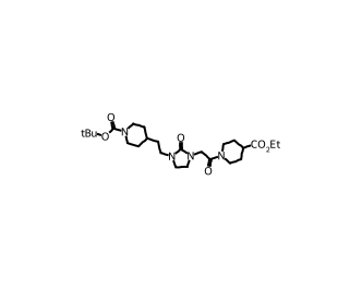 CCOC(=O)C1CCN(C(=O)CN2CCN(CCC3CCN(C(=O)OC(C)(C)C)CC3)C2=O)CC1